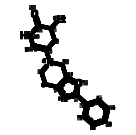 CCC1CC(N2CCc3nc(-c4ccccc4)oc3C2)=NNC1=O